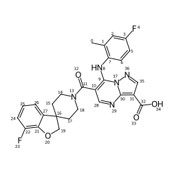 Cc1cc(F)ccc1Nc1c(C(=O)N2CCC3(CC2)COc2c(F)cccc23)cnc2c(C(=O)O)cnn12